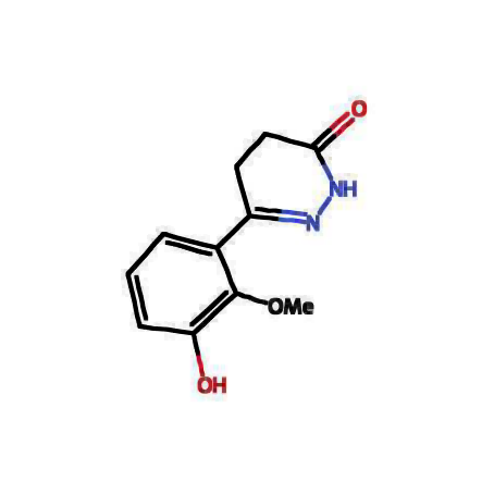 COc1c(O)cccc1C1=NNC(=O)CC1